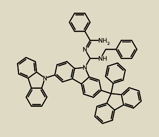 N/C(=N\C(NCc1ccccc1)n1c2ccc(-n3c4ccccc4c4ccccc43)cc2c2ccc(C3(c4ccccc4)c4ccccc4-c4ccccc43)cc21)c1ccccc1